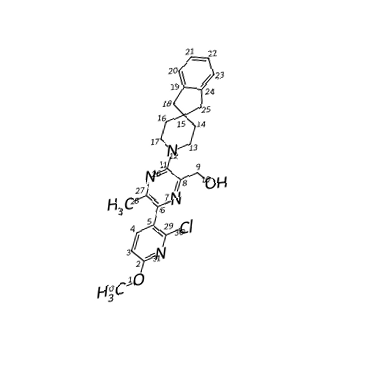 COc1ccc(-c2nc(CO)c(N3CCC4(CC3)Cc3ccccc3C4)nc2C)c(Cl)n1